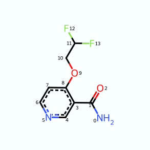 NC(=O)c1cnccc1OCC(F)F